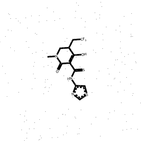 CN1CC(CC(F)(F)F)C(O)=C(C(=S)Nc2cscn2)C1=O